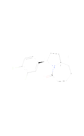 O=C1CCCC[C@@H]2CC[C@H](c3ccc(F)c(F)c3)N12